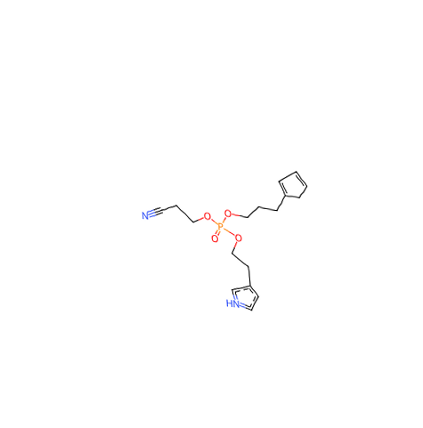 N#CCCOP(=O)(OCCCC1=CC=CC1)OCCc1cc[nH]c1